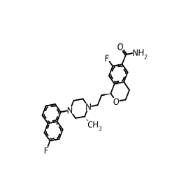 C[C@@H]1CN(c2cccc3cc(F)ccc23)CCN1CC[C@@H]1OCCc2cc(C(N)=O)c(F)cc21